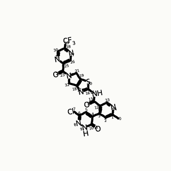 Cc1cc(-c2cc(Cl)n[nH]c2=O)c(C(=O)Nc2nc3c(s2)CN(C(=O)c2cnc(C(F)(F)F)cn2)C3)cn1